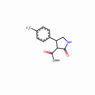 COC(=O)C1C(=O)NCC1c1ccc(C(F)(F)F)cc1